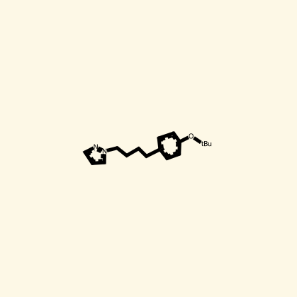 CC(C)(C)Oc1ccc(CCCCn2cccn2)cc1